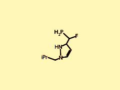 CC(C)CN1C=CC(C(F)P)N1